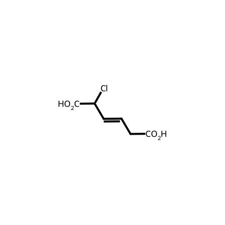 O=C(O)CC=CC(Cl)C(=O)O